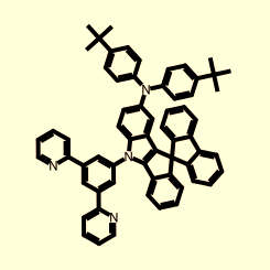 CC(C)(C)c1ccc(N(c2ccc(C(C)(C)C)cc2)c2ccc3c(c2)c2c(n3-c3cc(-c4ccccn4)cc(-c4ccccn4)c3)-c3ccccc3C23c2ccccc2-c2ccccc23)cc1